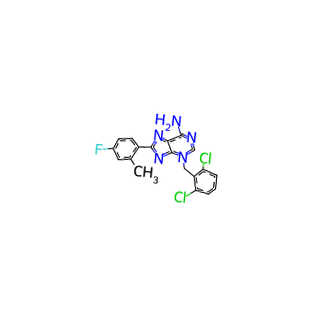 Cc1cc(F)ccc1-c1nc2c(N)ncn(Cc3c(Cl)cccc3Cl)c-2n1